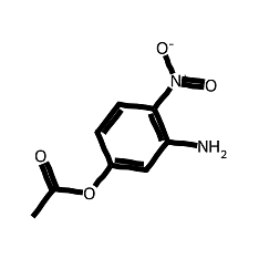 CC(=O)Oc1ccc([N+](=O)[O-])c(N)c1